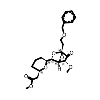 COC(=O)C[C@H]1CCC[C@@H]([C@@H]2O[C@@]3(CCOCc4ccccc4)O[C@@H]2[C@@H](OC)C3=O)O1